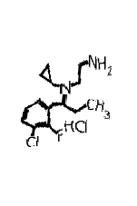 CCC(c1cccc(Cl)c1F)N(CCN)C1CC1.Cl